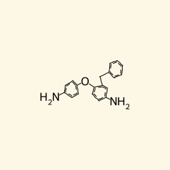 Nc1ccc(Oc2ccc(N)cc2Cc2ccccc2)cc1